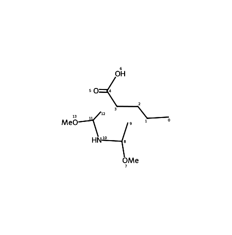 CCCCC(=O)O.COC(C)NC(C)OC